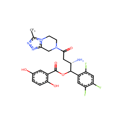 N[C@@H](CC(=O)N1CCn2c(nnc2C(F)(F)F)C1)C(OC(=O)c1cc(O)ccc1O)c1cc(F)c(F)cc1F